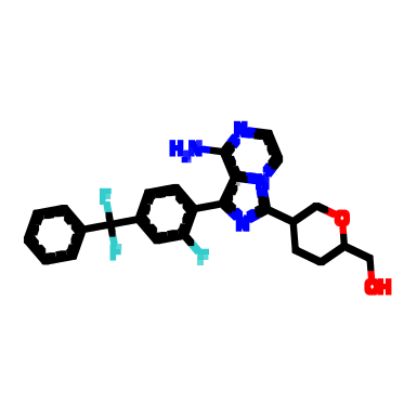 Nc1nccn2c(C3CCC(CO)OC3)nc(-c3ccc(C(F)(F)c4ccccc4)cc3F)c12